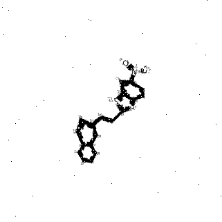 O=[N+]([O-])c1ccc2nc(C=Cc3ccc4ccccc4c3)sc2c1